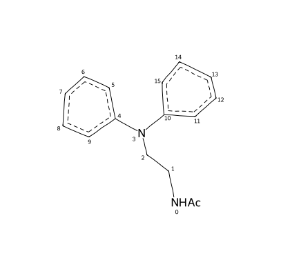 CC(=O)NCCN(c1ccccc1)c1ccccc1